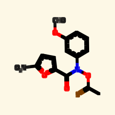 CC(=S)ON(C(=O)c1ccc([N+](=O)[O-])o1)c1cccc(OC=O)c1